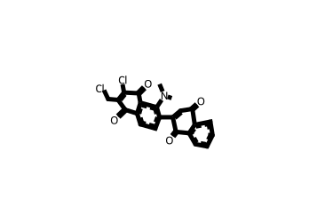 CN(C)c1c(C2=CC(=O)c3ccccc3C2=O)ccc2c1C(=O)C(Cl)=C(CCl)C2=O